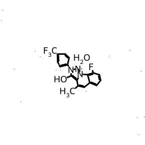 CC1=Cc2cccc(F)c2N2[N]N(c3ccc(C(F)(F)F)cc3)C(O)=C12.O